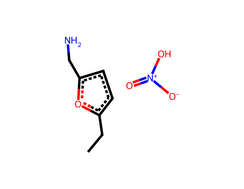 CCc1ccc(CN)o1.O=[N+]([O-])O